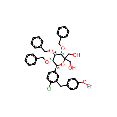 CCOc1ccc(Cc2cc([C@@H]3OC(CO)(CO)[C@@H](OCc4ccccc4)[C@H](OCc4ccccc4)[C@H]3OCc3ccccc3)ccc2Cl)cc1